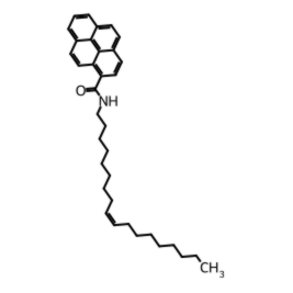 CCCCCCCC/C=C\CCCCCCCCNC(=O)c1ccc2ccc3cccc4ccc1c2c34